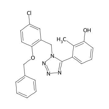 Cc1c(O)cccc1-c1nnnn1Cc1cc(Cl)ccc1OCc1ccccc1